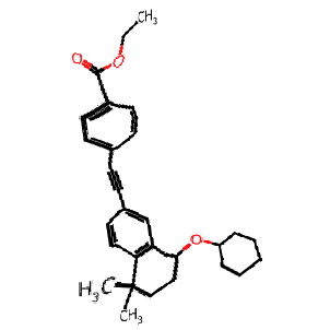 CCOC(=O)c1ccc(C#Cc2ccc3c(c2)C(OC2CCCCC2)CCC3(C)C)cc1